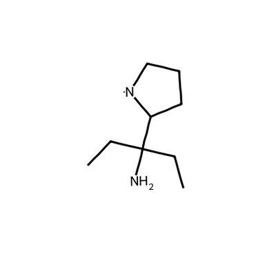 CCC(N)(CC)C1CCC[N]1